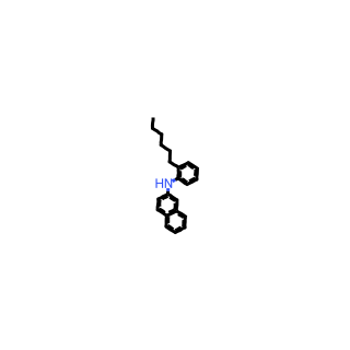 CCCCCCc1ccccc1Nc1ccc2ccccc2c1